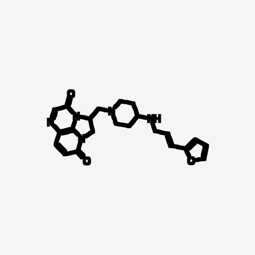 O=c1ccc2ncc(=O)n3c2n1CC3CN1CCC(NCC=Cc2ccco2)CC1